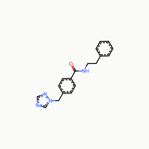 O=C(NCCc1ccccc1)c1ccc(Cn2cncn2)cc1